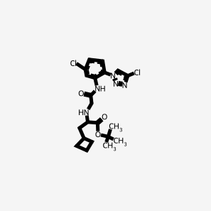 CC(C)(C)OC(=O)C(CC1CCC1)NCC(=O)Nc1cc(Cl)ccc1-n1cc(Cl)nn1